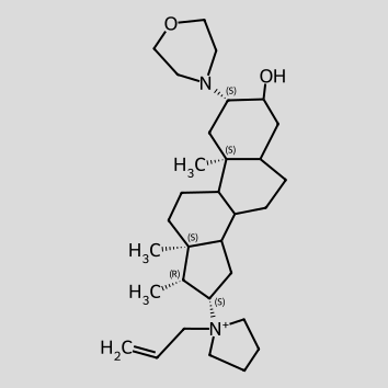 C=CC[N+]1([C@H]2CC3C4CCC5CC(O)[C@@H](N6CCOCC6)C[C@]5(C)C4CC[C@]3(C)[C@H]2C)CCCC1